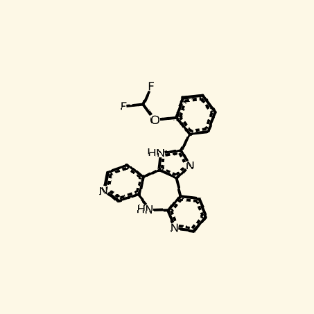 FC(F)Oc1ccccc1-c1nc2c([nH]1)-c1ccncc1Nc1ncccc1-2